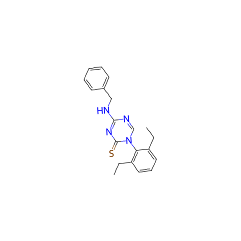 CCc1cccc(CC)c1-n1cnc(NCc2ccccc2)nc1=S